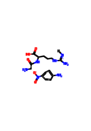 Nc1ccc([N+](=O)[O-])cc1.[H]/N=C(/N)NCCCC(NC(=O)CN)C(=O)O